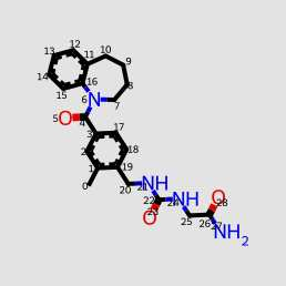 Cc1cc(C(=O)N2CCCCc3ccccc32)ccc1CNC(=O)NCC(N)=O